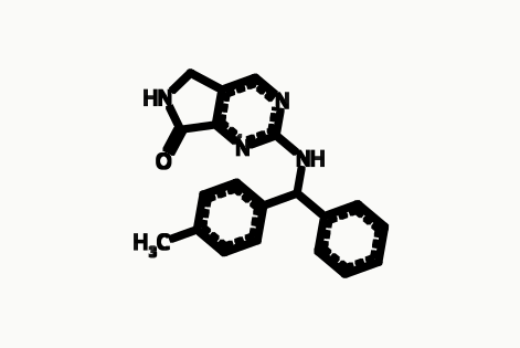 Cc1ccc(C(Nc2ncc3c(n2)C(=O)NC3)c2ccccc2)cc1